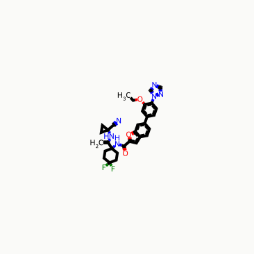 C=C(NC1(C#N)CC1)C1(NC(=O)c2cc3ccc(-c4ccc(-n5cncn5)c(OCC)c4)cc3o2)CCC(F)(F)CC1